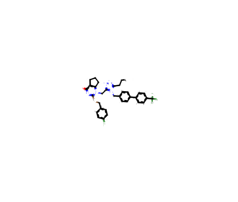 CCCc1nnc(Cn2c(SCc3ccc(F)cc3)nc(=O)c3c2CCC3)n1Cc1ccc(-c2ccc(C(F)(F)F)cc2)cc1